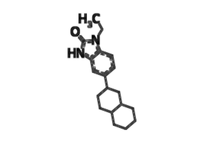 CCn1c(=O)[nH]c2cc(C3CCC4CCCCC4C3)ccc21